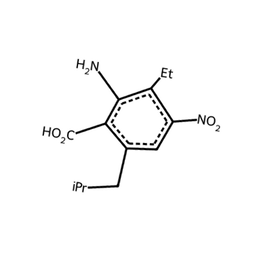 CCc1c([N+](=O)[O-])cc(CC(C)C)c(C(=O)O)c1N